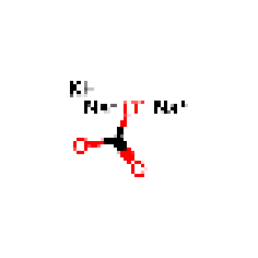 O=C([O-])[O-].[KH].[Na+].[Na+]